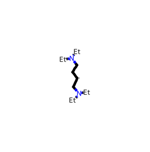 CCN(CC)C[CH]CCN(CC)CC